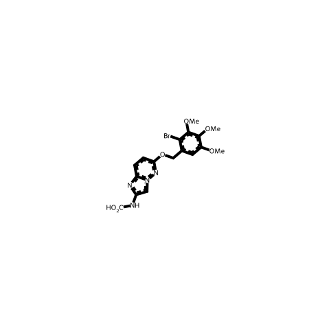 COc1cc(COc2ccc3nc(NC(=O)O)cn3n2)c(Br)c(OC)c1OC